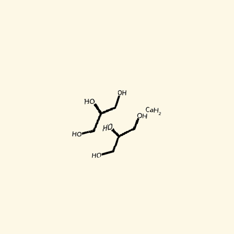 OCC(O)CO.OCC(O)CO.[CaH2]